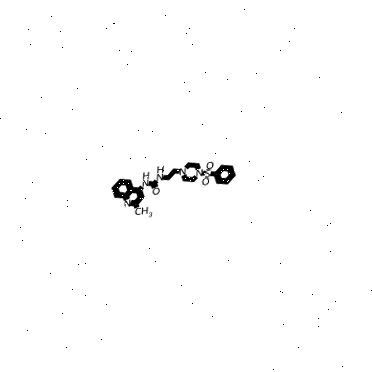 Cc1cc(NC(=O)NCCN2CCN(S(=O)(=O)c3ccccc3)CC2)c2ccccc2n1